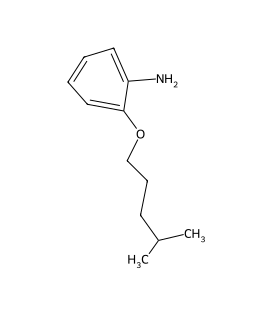 CC(C)CCCOc1ccccc1N